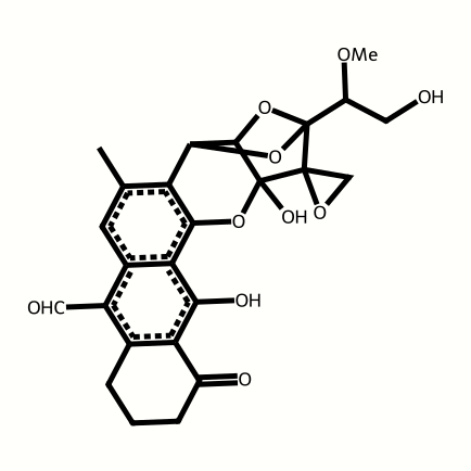 COC(CO)C12OC3c4c(C)cc5c(C=O)c6c(c(O)c5c4OC(O)(C3O1)C21CO1)C(=O)CCC6